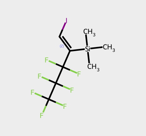 C[Si](C)(C)/C(=C\I)C(F)(F)C(F)(F)C(F)(F)F